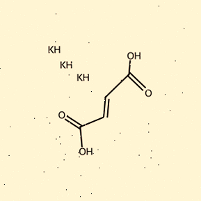 O=C(O)C=CC(=O)O.[KH].[KH].[KH]